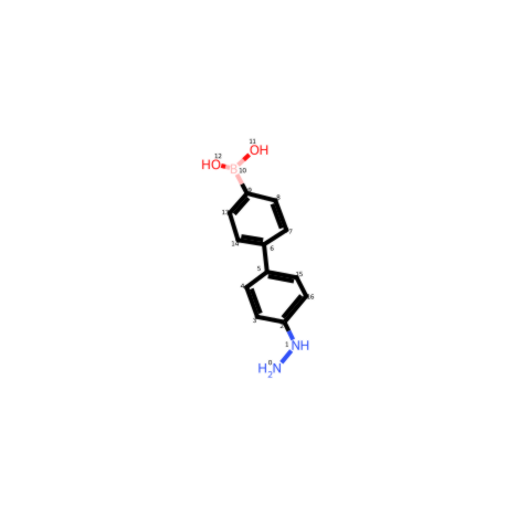 NNc1ccc(-c2ccc(B(O)O)cc2)cc1